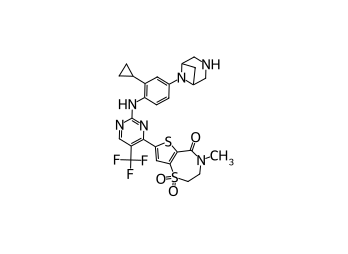 CN1CCS(=O)(=O)c2cc(-c3nc(Nc4ccc(N5C6CNCC5C6)cc4C4CC4)ncc3C(F)(F)F)sc2C1=O